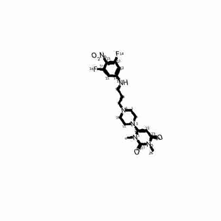 Cn1c(N2CCN(CCCNc3cc(F)c([N+](=O)[O-])c(F)c3)CC2)cc(=O)n(C)c1=O